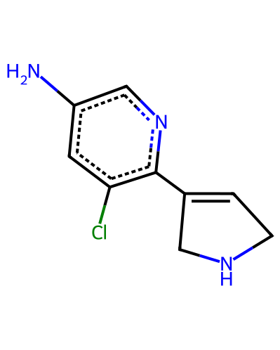 Nc1cnc(C2=CCNC2)c(Cl)c1